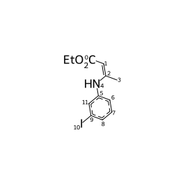 CCOC(=O)/C=C(/C)Nc1cccc(I)c1